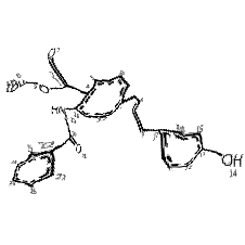 CC(C)(C)OC(=O)c1ccc(C=Cc2ccc(O)cc2)cc1NC(=O)c1ccccc1